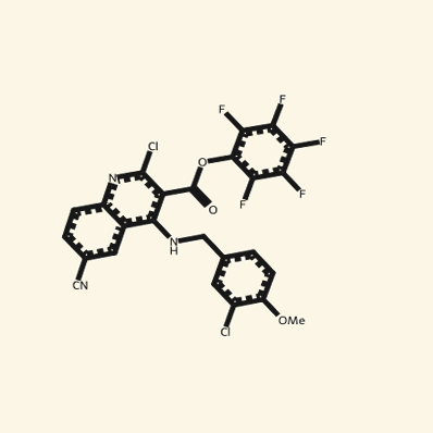 COc1ccc(CNc2c(C(=O)Oc3c(F)c(F)c(F)c(F)c3F)c(Cl)nc3ccc(C#N)cc23)cc1Cl